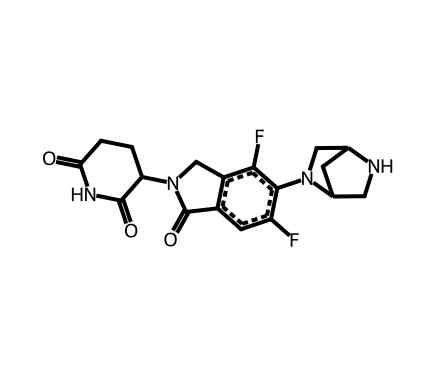 O=C1CCC(N2Cc3c(cc(F)c(N4CC5CC4CN5)c3F)C2=O)C(=O)N1